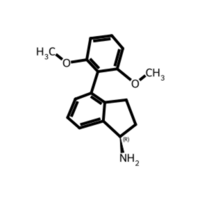 COc1cccc(OC)c1-c1cccc2c1CC[C@H]2N